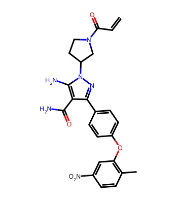 C=CC(=O)N1CCC(n2nc(-c3ccc(Oc4cc([N+](=O)[O-])ccc4C)cc3)c(C(N)=O)c2N)C1